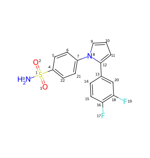 NS(=O)(=O)c1ccc(-n2cccc2-c2ccc(F)c(F)c2)cc1